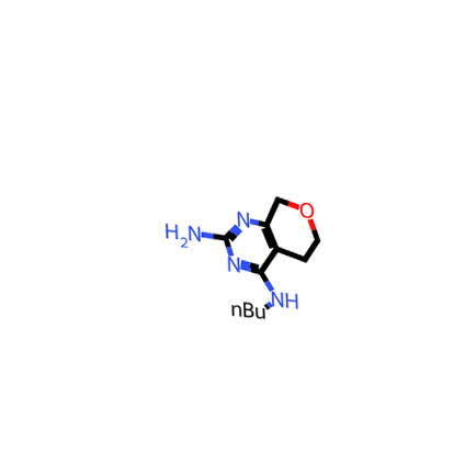 CCCCNc1nc(N)nc2c1CCOC2